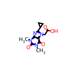 Cn1c(=O)c2c(nc(C3CC3)n2CC(=O)O)n(C)c1=O